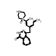 C=C/C=C(\C=C(/C)P1(=O)CCNCC1)Cc1n[nH]c(=O)c2ccccc12